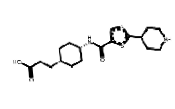 O=C(O)CC[C@H]1CC[C@H](NC(=O)c2cnc(C3CCNCC3)s2)CC1